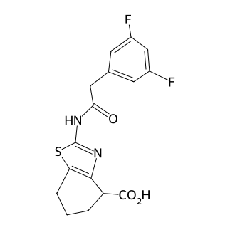 O=C(Cc1cc(F)cc(F)c1)Nc1nc2c(s1)CCCC2C(=O)O